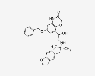 CC(C)(Cc1ccc2c(c1)CCO2)NCC(O)c1cc(OCc2ccccc2)cc2c1OCC(=O)N2